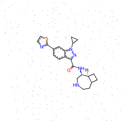 O=C(N[C@@H]1CNCCC2CC[C@@H]21)c1nn(C2CC2)c2cc(-c3nccs3)ccc12